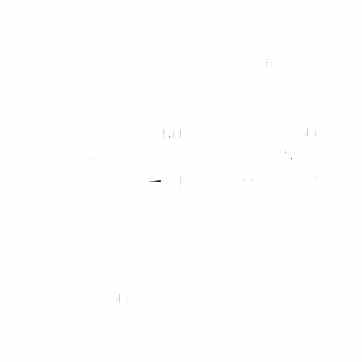 CCCN(CCC)C(=O)c1cc(C)cc(C(=O)N[C@@H](Cc2cc(F)cc(F)c2)[C@@H](O)[C@@H](C)COCCC(C)C)c1